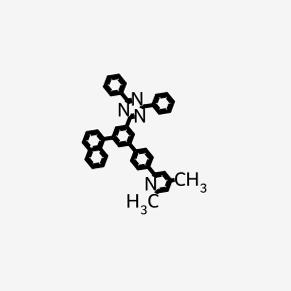 Cc1cc(C)nc(-c2ccc(-c3cc(-c4nc(-c5ccccc5)nc(-c5ccccc5)n4)cc(-c4cccc5ccccc45)c3)cc2)c1